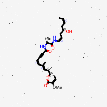 C/C=C\C[C@H](O)C/C=C\NC(=O)C(NC(=O)C#C/C=C\C(C)=C\[C@H](C)[C@@H]1CC=C(OC)C(=O)O1)C(C)(C)C